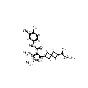 COC(=O)C1CC2(C1)CC(c1nn(C)c(N)c1C(=O)Nc1ccc(F)c(Cl)c1)C2